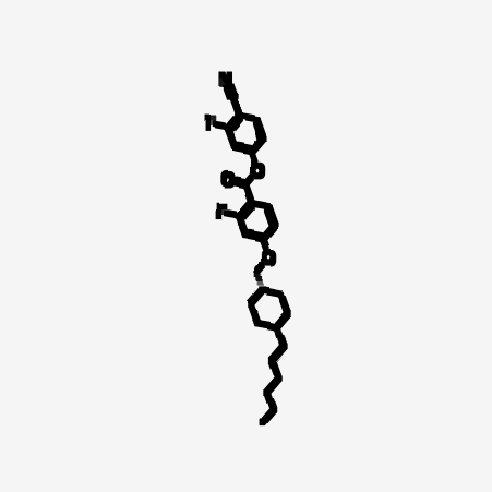 CCCCCC[C@H]1CC[C@H](COc2ccc(C(=O)Oc3ccc(C#N)c(F)c3)c(F)c2)CC1